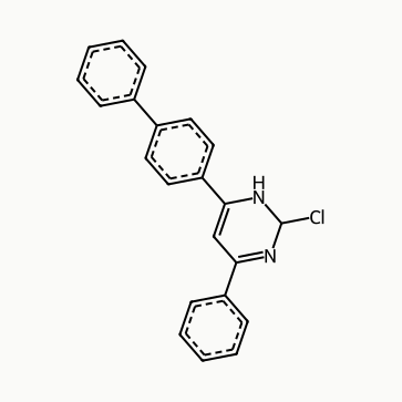 ClC1N=C(c2ccccc2)C=C(c2ccc(-c3ccccc3)cc2)N1